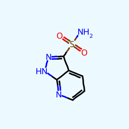 NS(=O)(=O)c1n[nH]c2ncccc12